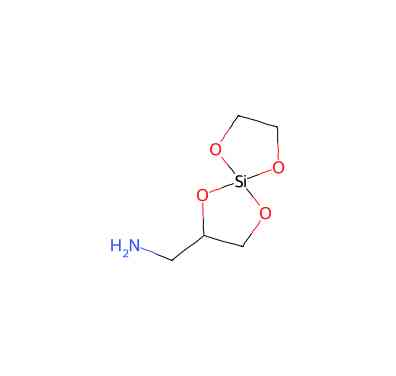 NCC1CO[Si]2(OCCO2)O1